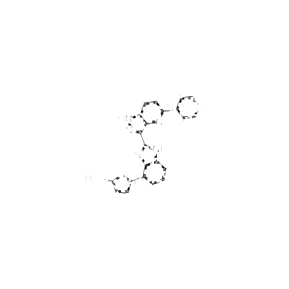 Cc1ccc(-c2cccc3[nH]c(-c4n[nH]c5ccc(-c6ccncc6)nc45)nc23)s1